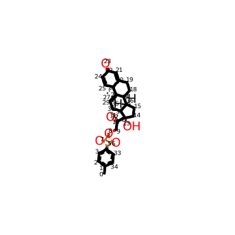 Cc1ccc(S(=O)(=O)OCC(=O)[C@@]2(O)CC[C@H]3[C@@H]4CCC5=CC(=O)C=C[C@]5(C)C4=CC[C@@]32C)cc1